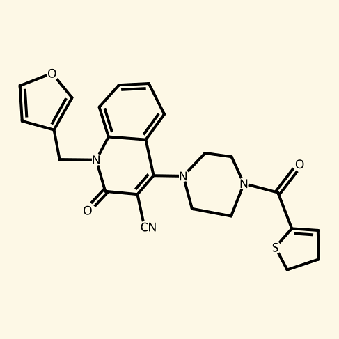 N#Cc1c(N2CCN(C(=O)C3=CCCS3)CC2)c2ccccc2n(Cc2ccoc2)c1=O